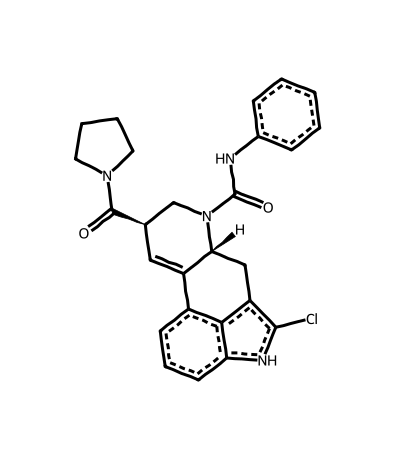 O=C([C@@H]1C=C2c3cccc4[nH]c(Cl)c(c34)C[C@H]2N(C(=O)Nc2ccccc2)C1)N1CCCC1